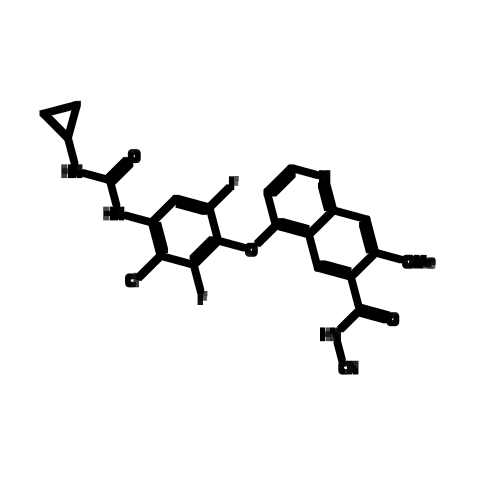 COc1cc2nccc(Oc3c(F)cc(NC(=O)NC4CC4)c(Cl)c3F)c2cc1C(=O)NC#N